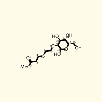 COC(=O)CCSCCO[C@@H]1[C@@H](O)[C@H](O)[C@@H](CO)O[C@H]1O